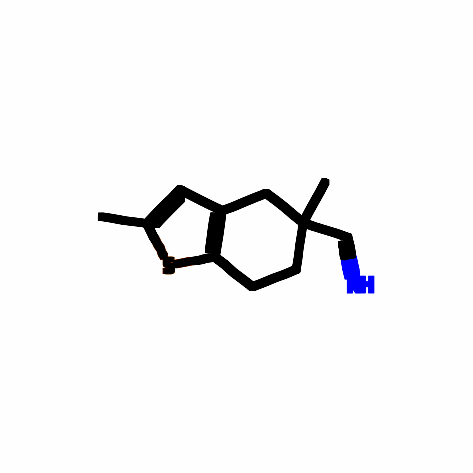 Cc1cc2c(s1)CCC(C)(C=N)C2